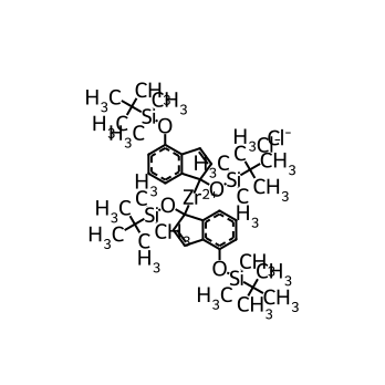 CC(C)(C)[Si](C)(C)Oc1cccc2c1C=C[C]2(O[Si](C)(C)C(C)(C)C)[Zr+2][C]1(O[Si](C)(C)C(C)(C)C)C=Cc2c(O[Si](C)(C)C(C)(C)C)cccc21.[Cl-].[Cl-]